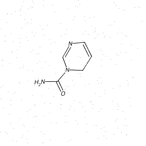 NC(=O)N1C=NC=CC1